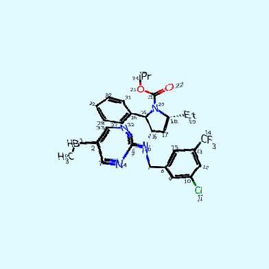 CBc1cnc(N(Cc2cc(Cl)cc(C(F)(F)F)c2)[C@H]2C[C@@H](CC)N(C(=O)OC(C)C)C2c2ccccc2)nc1